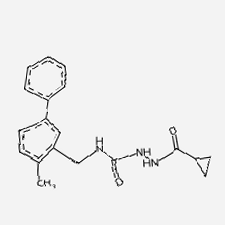 Cc1ccc(-c2ccccc2)cc1CNC(=O)NNC(=O)C1CC1